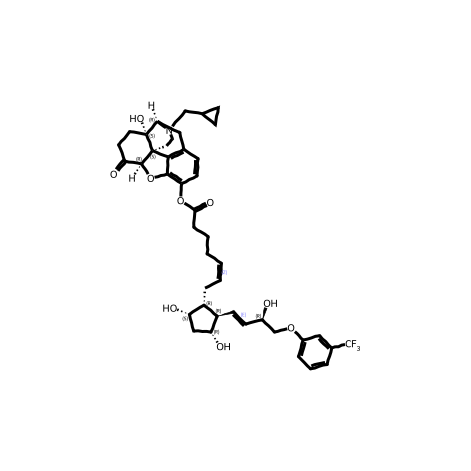 O=C(CCC/C=C\C[C@@H]1[C@@H](/C=C/[C@@H](O)COc2cccc(C(F)(F)F)c2)[C@H](O)C[C@@H]1O)Oc1ccc2c3c1O[C@H]1C(=O)CC[C@@]4(O)[C@@H](C2)N(CC2CC2)CC[C@]314